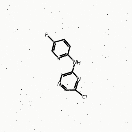 Fc1ccc(Nc2cncc(Cl)n2)nc1